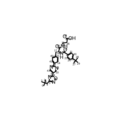 CC(C)(C)Cc1noc(-c2cnc(-c3ccc(C[C@H](NC(=O)c4ccc(C(C)(C)C)cc4)C(=O)NCCC(=O)O)cc3)nc2)n1